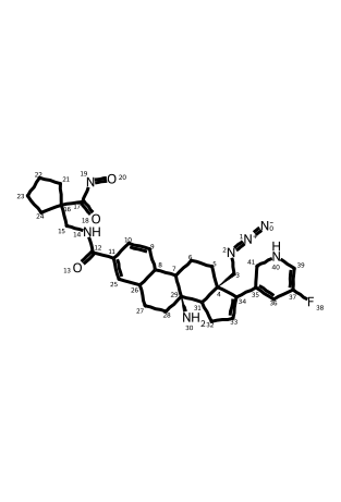 [N-]=[N+]=NC[C@]12CCC3C4C=CC(C(=O)NCC5(C(=O)N=O)CCCC5)=CC4CC[C@@]3(N)C1CC=C2C1=CC(F)=CNC1